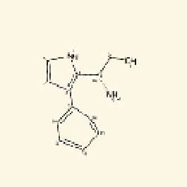 N[C@@H](CO)c1[nH]ccc1-c1ccccc1